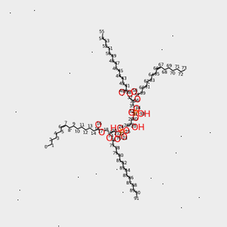 CCCCCC/C=C\CCCCCCCC(=O)OC[C@H](COP(=O)(O)OC[C@@H](O)COP(=O)(O)OC[C@@H](COC(=O)CCCCCCCCCCCCCCC)OC(=O)CCCCCCC/C=C\CCCCCC)OC(=O)CCCCCCCCCCCCCCC